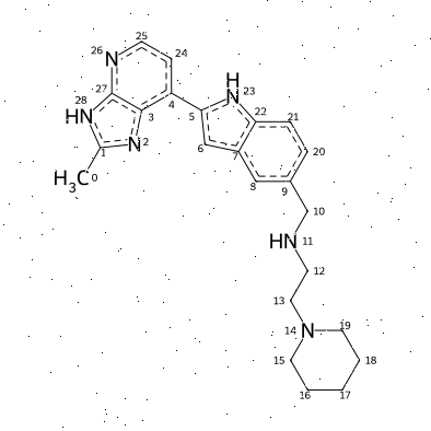 Cc1nc2c(-c3cc4cc(CNCCN5CCCCC5)ccc4[nH]3)ccnc2[nH]1